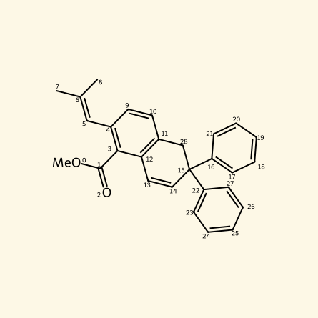 COC(=O)c1c(C=C(C)C)ccc2c1C=CC(c1ccccc1)(c1ccccc1)C2